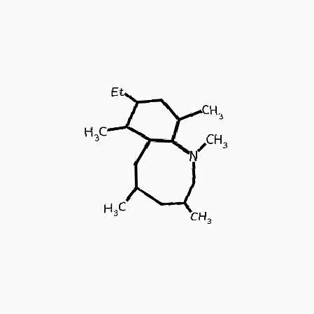 CCC1CC(C)C2C(CC(C)CC(C)CN2C)C1C